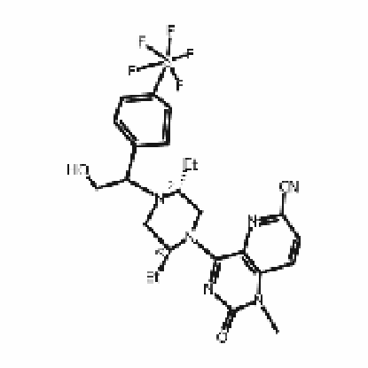 CC[C@H]1CN(C(CO)c2ccc(S(F)(F)(F)(F)F)cc2)[C@H](CC)CN1c1nc(=O)n(C)c2ccc(C#N)nc12